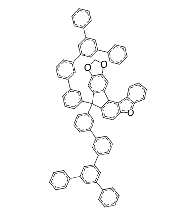 c1ccc(-c2cc(-c3ccccc3)cc(-c3cccc(-c4cccc(C5(c6cccc(-c7cccc(-c8cc(-c9ccccc9)cc(-c9ccccc9)c8)c7)c6)c6cc7c(cc6-c6c5ccc5oc8ccccc8c65)OCO7)c4)c3)c2)cc1